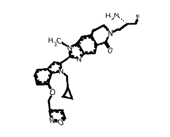 Cn1c(-c2cc3cccc(OCc4ccon4)c3n2CC2CC2)nc2cc3c(cc21)CCN(C[C@H](N)CF)C3=O